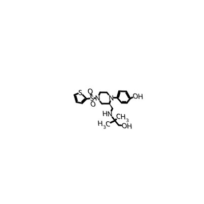 CC(C)(CO)NC[C@H]1CN(S(=O)(=O)c2cccs2)CCN1c1ccc(O)cc1